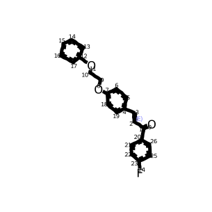 O=C(/C=C/c1ccc(OCCOc2ccccc2)cc1)c1ccc(F)cc1